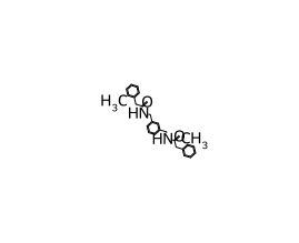 Cc1ccccc1CC(=O)NCc1cccc(CNC(=O)Cc2ccccc2C)c1